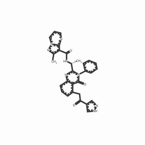 Cc1nn2cccnc2c1C(=O)N[C@H](C)c1nc2cccc(CC(=O)c3cn[nH]c3)c2c(=O)n1-c1ccccc1